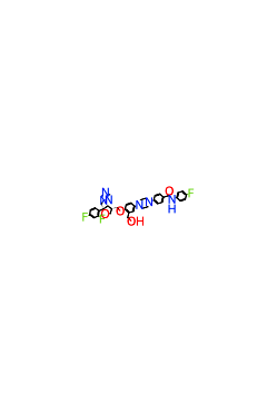 O=C(Nc1ccc(F)cc1)c1ccc(N2CCN(c3ccc(OC[C@@H]4CO[C@@](Cn5cncn5)(c5ccc(F)cc5F)C4)c(CO)c3)CC2)cc1